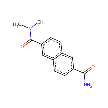 CN(C)C(=O)c1ccc2cc(C(N)=O)ccc2c1